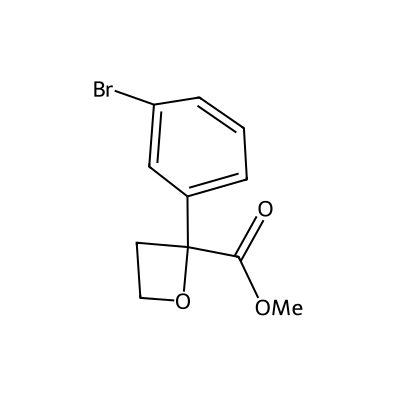 COC(=O)C1(c2cccc(Br)c2)CCO1